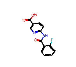 O=C(O)c1ccc(NC(=O)c2ccccc2F)nc1